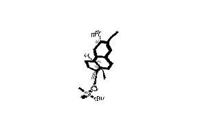 CCC[C@H]1CC2C(=CC[C@]3(C)[C@@H](O[Si](C)(C)C(C)(C)C)CC[C@@H]23)C=C1C